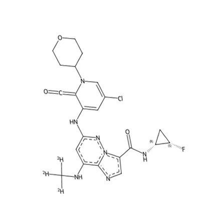 [2H]C([2H])([2H])Nc1cc(NC2=CC(Cl)=CN(C3CCOCC3)C2=C=O)nn2c(C(=O)N[C@@H]3C[C@@H]3F)cnc12